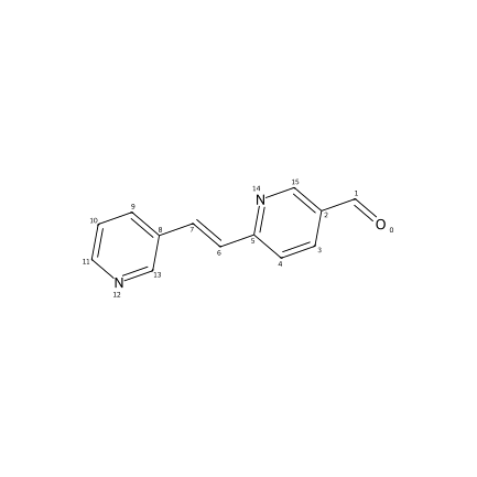 O=Cc1ccc(C=Cc2cccnc2)nc1